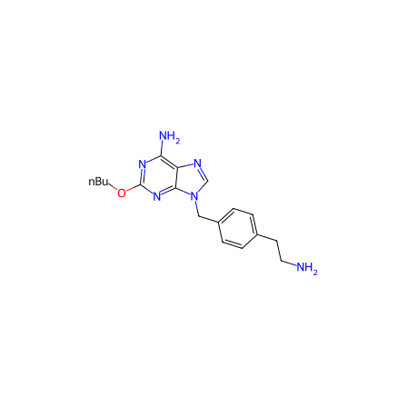 CCCCOc1nc(N)c2ncn(Cc3ccc(CCN)cc3)c2n1